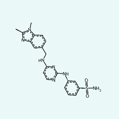 Cc1nc2cc(CNc3ccnc(Nc4cccc(S(N)(=O)=O)c4)n3)ccc2n1C